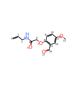 C=CCNC(=O)COc1ccc(OC)cc1C=O